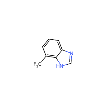 FC(F)(F)c1cccc2nc[nH]c12